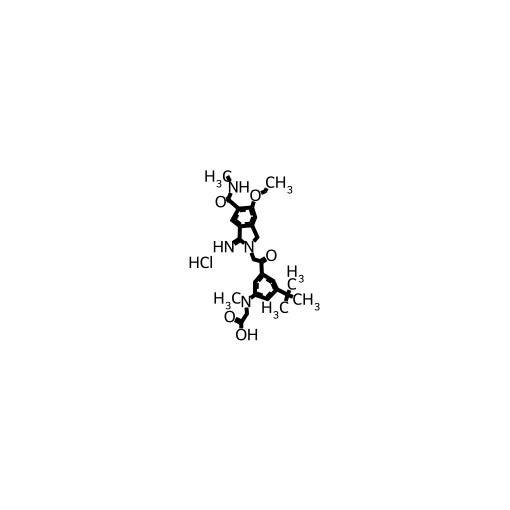 CCOc1cc2c(cc1C(=O)NC)C(=N)N(CC(=O)c1cc(N(C)CC(=O)O)cc(C(C)(C)C)c1)C2.Cl